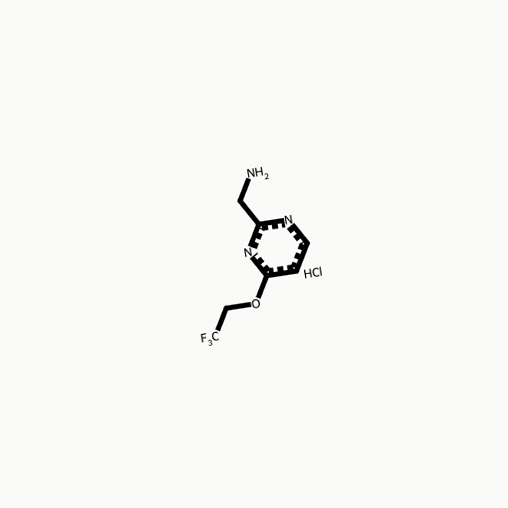 Cl.NCc1nccc(OCC(F)(F)F)n1